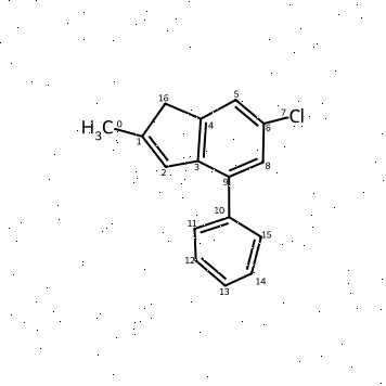 CC1=Cc2c(cc(Cl)cc2-c2ccccc2)C1